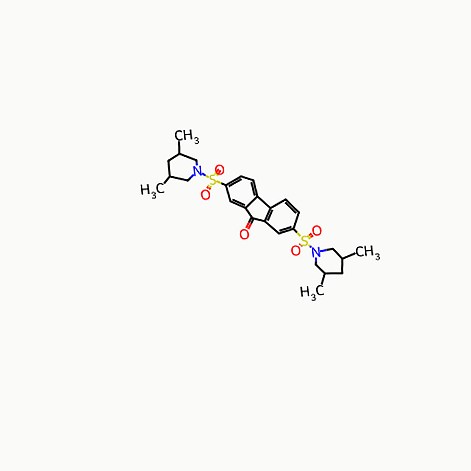 CC1CC(C)CN(S(=O)(=O)c2ccc3c(c2)C(=O)c2cc(S(=O)(=O)N4CC(C)CC(C)C4)ccc2-3)C1